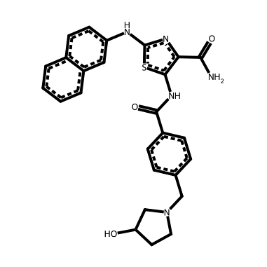 NC(=O)c1nc(Nc2ccc3ccccc3c2)sc1NC(=O)c1ccc(CN2CCC(O)C2)cc1